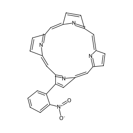 O=[N+]([O-])c1ccccc1C1=CC2=CC3=NC(=CC4=NC(=CC5=NC(=CC1=N2)C=C5)C=C4)C=C3